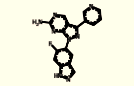 Nc1ncc2c(-c3cccnc3)nn(-c3cc4cn[nH]c4cc3F)c2n1